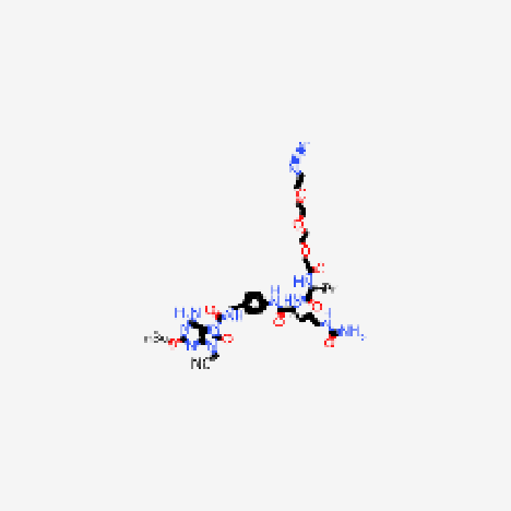 CCCCOc1nc(N)c2c(n1)n(CC#N)c(=O)n2C(=O)NCc1ccc(NC(=O)[C@H](CCCNC(N)=O)NC(=O)[C@@H](NC(=O)COCCOCCOCCN=[N+]=[N-])C(C)C)cc1